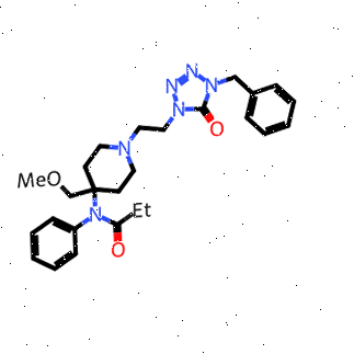 CCC(=O)N(c1ccccc1)C1(COC)CCN(CCn2nnn(Cc3ccccc3)c2=O)CC1